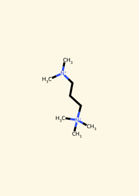 C[N+](C)CCC[N+](C)(C)C